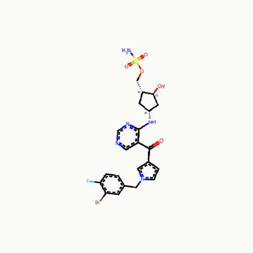 NS(=O)(=O)OC[C@H]1C[C@@H](Nc2ncncc2C(=O)c2ccn(Cc3ccc(F)c(Br)c3)c2)C[C@@H]1O